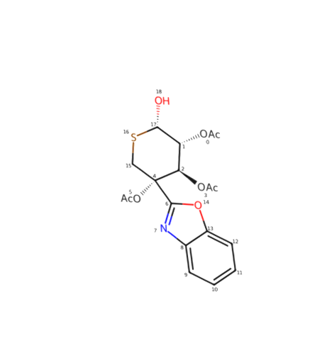 CC(=O)O[C@@H]1[C@@H](OC(C)=O)[C@@](OC(C)=O)(c2nc3ccccc3o2)CS[C@@H]1O